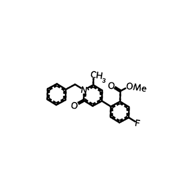 COC(=O)c1cc(F)ccc1-c1cc(C)n(Cc2ccccc2)c(=O)c1